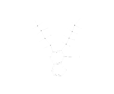 CC(F)(F)C(F)(F)C(F)(F)C(F)(F)c1cc2ccccc2c(S(=O)(=O)O)c1C(F)(F)C(F)(F)C(F)(F)C(C)(F)F